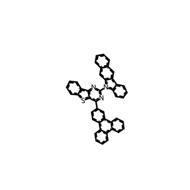 c1ccc2cc3c(cc2c1)c1ccccc1n3-c1nc(-c2ccc3c4ccccc4c4ccccc4c3c2)c2sc3ccccc3c2n1